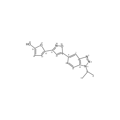 CC(C)n1nnc2cc(-c3cc(-c4ccc(O)o4)no3)ccc21